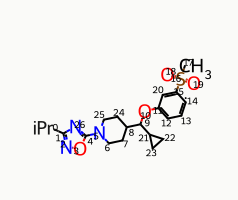 CC(C)c1noc(N2CCC(C(Oc3cc[c]c(S(C)(=O)=O)c3)C3CC3)CC2)n1